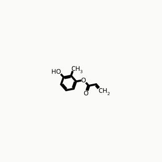 C=CC(=O)Oc1cccc(O)c1C